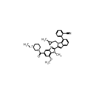 CC[C@@H]1CCCN(C(=O)c2cc(OC)c3c(c2)nc(-c2cc4cccc(-c5ccccc5C#N)c4n2CC2CC2C)n3C)C1